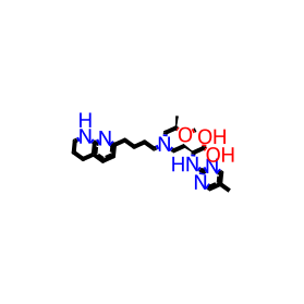 CO[C@H](C)CN(CCCCc1ccc2c(n1)NCCC2)CC[C@H](Nc1ncc(C)cn1)C(O)O